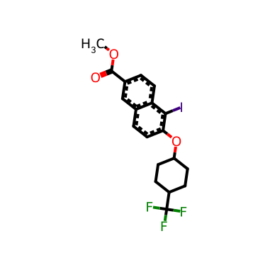 COC(=O)c1ccc2c(I)c(OC3CCC(C(F)(F)F)CC3)ccc2c1